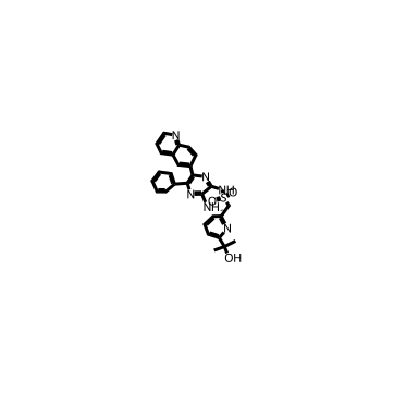 CC(C)(O)c1cccc(CS(=O)(=O)Nc2nc(-c3ccc4ncccc4c3)c(-c3ccccc3)nc2N)n1